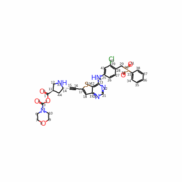 O=C(OC(=O)N1CCOCC1)[C@H]1CN[C@H](C#Cc2cc3ncnc(Nc4ccc(CS(=O)(=O)c5ccccc5)c(Cl)c4)c3s2)C1